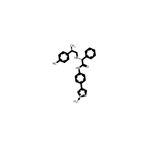 C[C@@H](CN[C@@H](C(=O)Nc1ccc(-c2cnn(C)c2)cc1)c1ccccc1)c1ccc(C#N)cc1